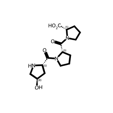 O=C(O)[C@@H]1CCCN1C(=O)[C@@H]1CCCN1C(=O)[C@@H]1C[C@@H](O)CN1